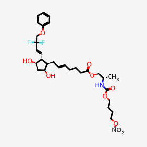 C[C@@H](COC(=O)CCCC=CC[C@@H]1[C@@H](C=CC(F)(F)COc2ccccc2)[C@H](O)C[C@@H]1O)NC(=O)OCCCCO[N+](=O)[O-]